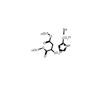 CCCCCCCCOC(=O)CC(C(=O)OCCCCCCCC)S(=O)(=O)O.O=C(O)c1ccc[nH]1.[CH3][Na]